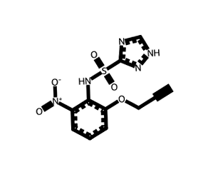 C#CCOc1cccc([N+](=O)[O-])c1NS(=O)(=O)c1nc[nH]n1